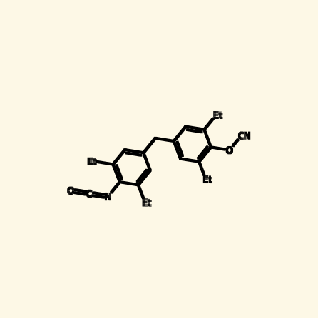 CCc1cc(Cc2cc(CC)c(OC#N)c(CC)c2)cc(CC)c1N=C=O